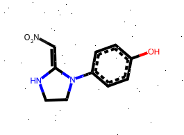 O=[N+]([O-])C=C1NCCN1c1ccc(O)cc1